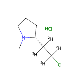 Cl.[2H]C([2H])(Cl)C([2H])([2H])[C@H]1CCCN1C